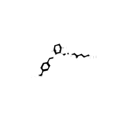 CCCCC(=O)CNN=C[C@H]1[C@H](CCc2ccc(C(=O)O)cc2)[C@@H]2CC[C@H]1O2